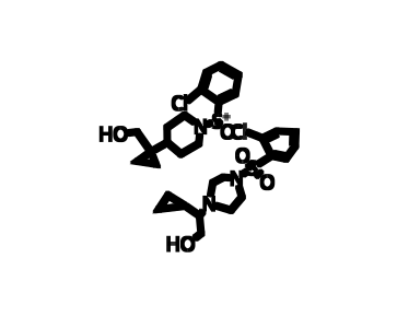 O=S(=O)(c1ccccc1Cl)N1CCN(C(CO)C2CC2)CC1.[O-][S+](c1ccccc1Cl)N1CCC(C2(CO)CC2)CC1